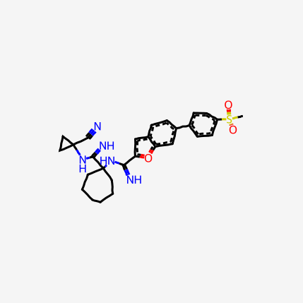 CS(=O)(=O)c1ccc(-c2ccc3cc(C(=N)NC4(C(=N)NC5(C#N)CC5)CCCCCC4)oc3c2)cc1